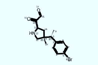 C[C@H](c1ccc(Br)cc1)[C@]1(C)CNC(C(=O)C=O)C1